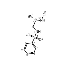 CC(C)[C@@H](CNS(=O)(=O)c1ccccc1)NCl